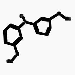 CC(C)(C)Oc1cccc(P(Cl)c2cccc(OC(C)(C)C)c2)c1